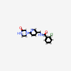 O=C1CN(c2ccc(CNC(=O)c3ccccc3Cl)cn2)CCN1